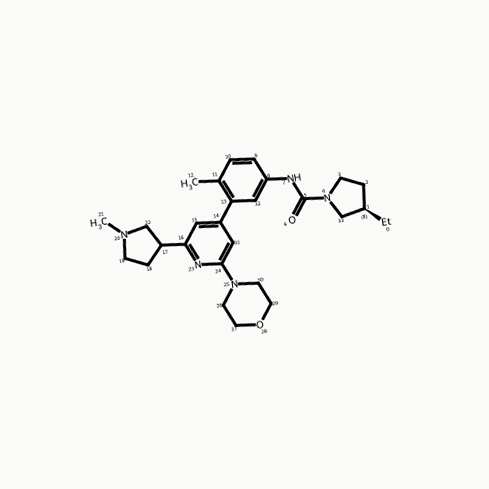 CC[C@@H]1CCN(C(=O)Nc2ccc(C)c(-c3cc(C4CCN(C)C4)nc(N4CCOCC4)c3)c2)C1